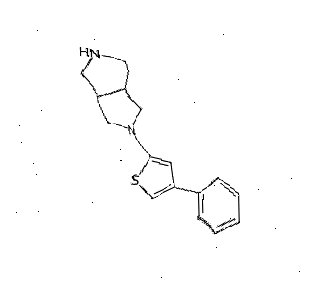 c1ccc(-c2csc(N3CC4CNCC4C3)c2)cc1